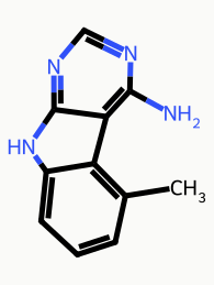 Cc1cccc2[nH]c3ncnc(N)c3c12